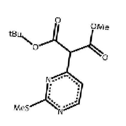 COC(=O)C(C(=O)OC(C)(C)C)c1ccnc(SC)n1